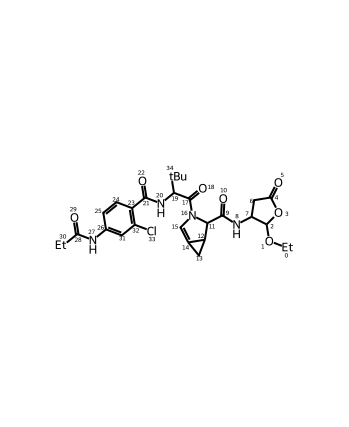 CCOC1OC(=O)CC1NC(=O)C1C2CC2=CN1C(=O)C(NC(=O)c1ccc(NC(=O)CC)cc1Cl)C(C)(C)C